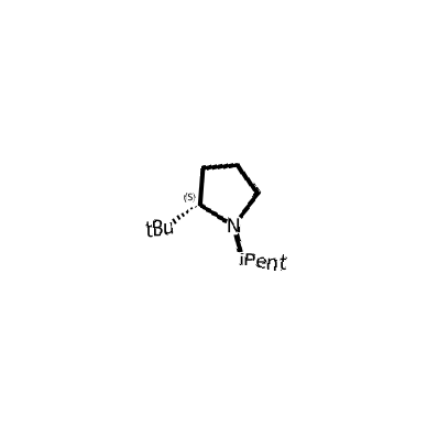 CCCC(C)N1CCC[C@H]1C(C)(C)C